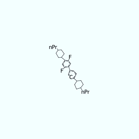 CCCC1CCC(c2ccc(-c3cc(F)c(C4CCC(CCC)CC4)cc3F)cc2)CC1